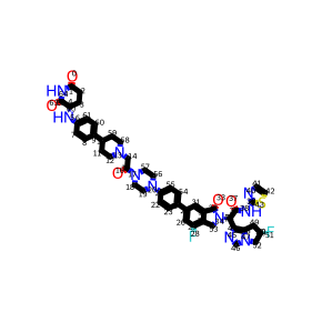 O=C1CC[C@@H](Nc2ccc(C3CCN(CC(=O)N4CCN(c5ccc(-c6cc(F)c7c(c6)C(=O)N([C@@H](C(=O)Nc6nccs6)c6ncn8c6C[C@@H](F)C8)C7)cc5)CC4)CC3)cc2)C(=O)N1